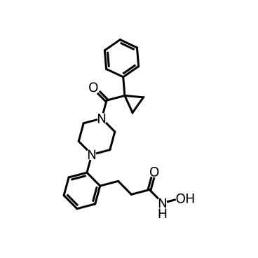 O=C(CCc1ccccc1N1CCN(C(=O)C2(c3ccccc3)CC2)CC1)NO